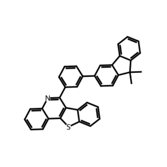 CC1(C)c2ccccc2-c2cc(-c3cccc(-c4nc5ccccc5c5sc6ccccc6c45)c3)ccc21